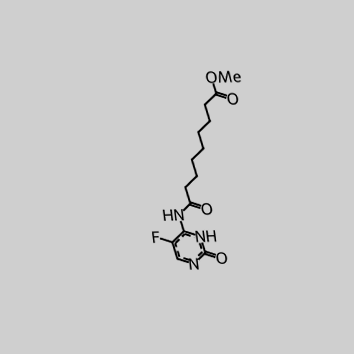 COC(=O)CCCCCCCC(=O)Nc1[nH]c(=O)ncc1F